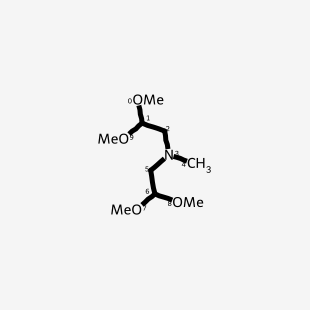 COC(CN(C)CC(OC)OC)OC